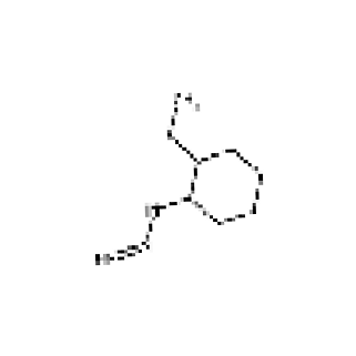 CCC1CCCCC1NN=N